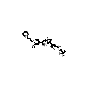 O=C(NCC(F)(F)F)c1cc(-c2cnn3cc(-c4ccn(CCCN5CCCCC5)c(=O)c4)cnc23)cs1